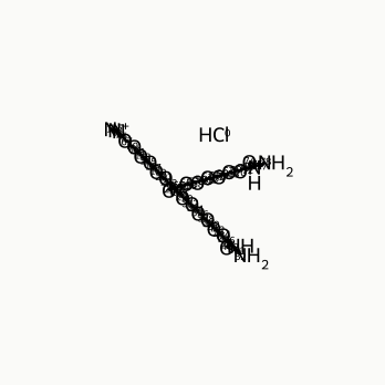 Cl.[N-]=[N+]=NCCOCCOCCOCCOCCOCCOCCC(=O)N(CCOCCOCCOCCOCCOCCOCCC(=O)NCCN)CCOCCOCCOCCOCCOCCOCCC(=O)NCCN